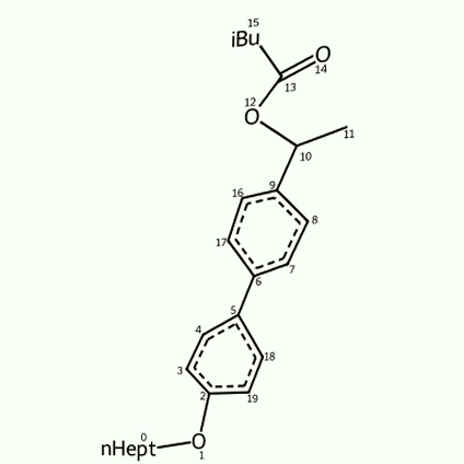 CCCCCCCOc1ccc(-c2ccc(C(C)OC(=O)C(C)CC)cc2)cc1